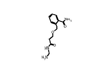 NCNC(=O)[CH]COCc1ccccc1C(N)=O